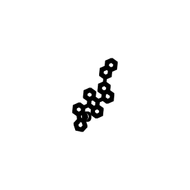 c1ccc2cc(-c3ccc4c(-c5c6ccccc6c(-c6cccc7c6oc6ccccc67)c6ccccc56)cccc4c3)ccc2c1